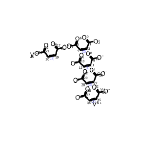 O=C([O-])/C=C\C(=O)[O-].O=C([O-])/C=C\C(=O)[O-].O=C([O-])/C=C\C(=O)[O-].O=C([O-])/C=C\C(=O)[O-].O=C([O-])/C=C\C(=O)[O-].[V+5].[V+5]